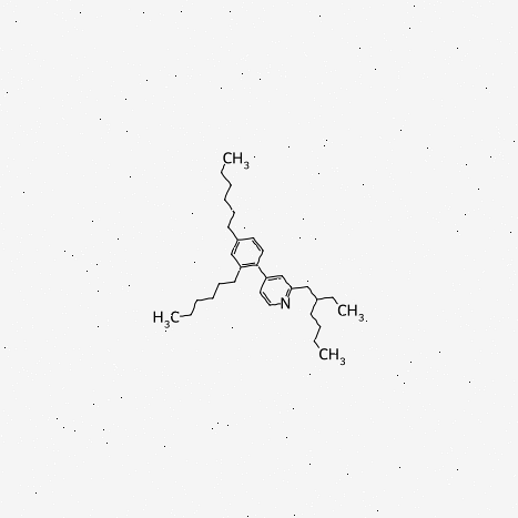 CCCCCCc1ccc(-c2ccnc(CC(CC)CCCC)c2)c(CCCCCC)c1